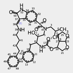 CC(C)CN(CC(O)C(Cc1ccccc1)NC(=O)OC1COC2OCCC12)S(=O)(=O)c1ccc2c(c1)/C(=C\NCCCCc1ccccc1)C(=O)N2